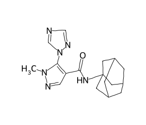 Cn1ncc(C(=O)NC23CC4CC(CC(C4)C2)C3)c1-n1cncn1